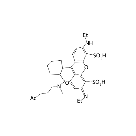 CC/N=c1\ccc2c(C3CCCCC3C(=O)N(C)CCCC(C)=O)c3ccc(NCC)c(S(=O)(=O)O)c3oc-2c1S(=O)(=O)O